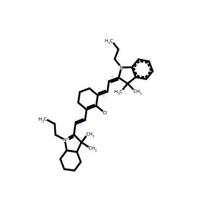 CCCN1/C(=C/C=C2\CCCC(/C=C/C3=[N+](CCC)C4CCCCC4C3(C)C)=C2Cl)C(C)(C)c2ccccc21